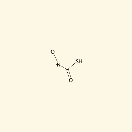 [O][N]C(=O)S